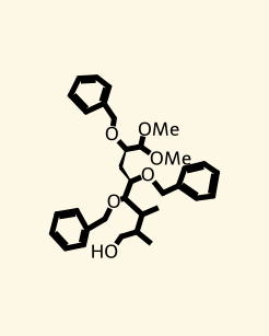 COC(OC)[C@@H](C[C@@H](OCc1ccccc1)C(OCc1ccccc1)C(C)C(C)CO)OCc1ccccc1